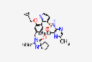 CCCCC1=NC2(CCCC2)C(=O)N1Cc1ccc(-c2ncccc2[S+]([O-])Nc2ncc(C)nc2OC)c(OCC2CC2)c1